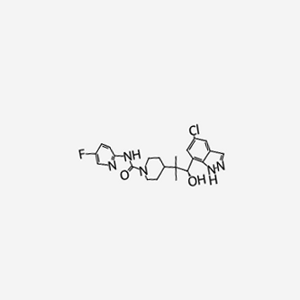 CC(C)(C1CCN(C(=O)Nc2ccc(F)cn2)CC1)[C@H](O)c1cc(Cl)cc2cn[nH]c12